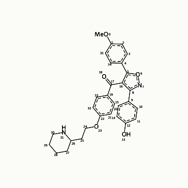 COc1ccc(-c2onc(-c3ccc(O)cc3)c2C(=O)c2ccc(OCCC3CCCCN3)cc2)cc1